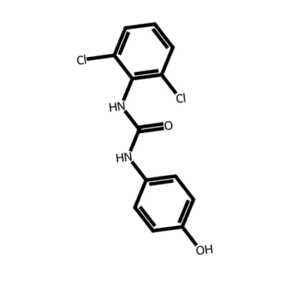 O=C(Nc1ccc(O)cc1)Nc1c(Cl)cccc1Cl